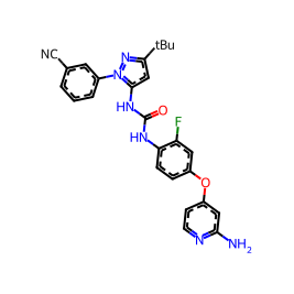 CC(C)(C)c1cc(NC(=O)Nc2ccc(Oc3ccnc(N)c3)cc2F)n(-c2cccc(C#N)c2)n1